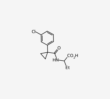 CCC(NC(=O)C1(c2cccc(Cl)c2)CC1)C(=O)O